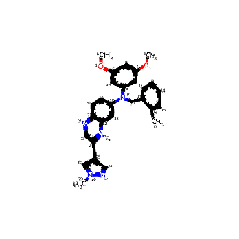 COc1cc(OC)cc(N(Cc2ccccc2C)c2ccc3ncc(-c4cnn(C)c4)nc3c2)c1